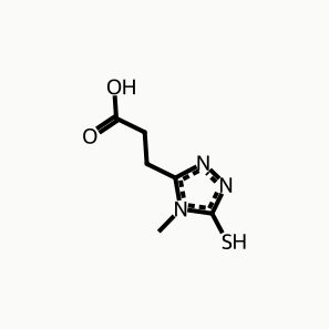 Cn1c(S)nnc1CCC(=O)O